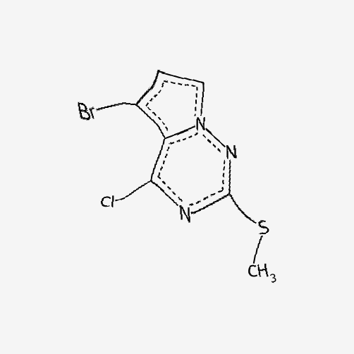 CSc1nc(Cl)c2c(Br)ccn2n1